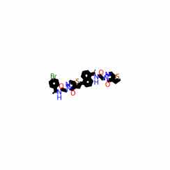 C[C@H](NC(=O)Cn1ncc2sc(-c3cccc4c([C@H](C)NC(=O)Cn5ncc6sccc6c5=O)cccc34)cc2c1=O)c1ccc(Br)cc1